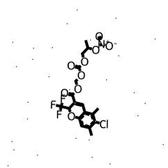 Cc1cc2c(c(C)c1Cl)C=C(C(=O)OCOC(=O)OCC(C)O[N+](=O)[O-])C(C(F)(F)F)O2